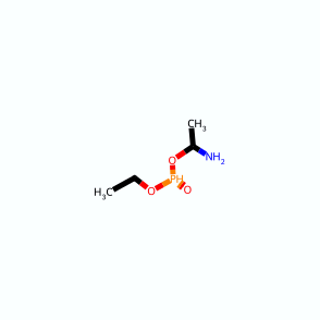 CCO[PH](=O)OC(C)N